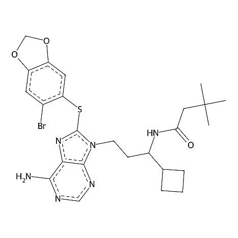 CC(C)(C)CC(=O)NC(CCn1c(Sc2cc3c(cc2Br)OCO3)nc2c(N)ncnc21)C1CCC1